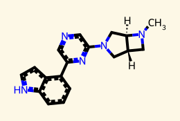 CN1C[C@@H]2CN(c3cncc(-c4cccc5[nH]ccc45)n3)C[C@H]21